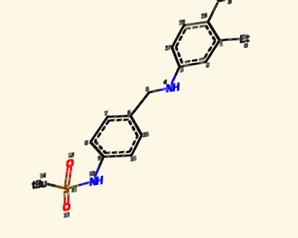 CCc1cc(NCc2ccc(NS(=O)(=O)C(C)(C)C)cc2)ccc1C(F)(F)F